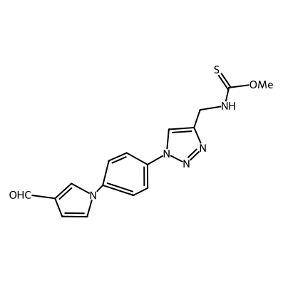 COC(=S)NCc1cn(-c2ccc(-n3ccc(C=O)c3)cc2)nn1